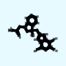 O=C(O)CN1CC(Cl)(Cc2nc3c(F)c(F)cc(F)c3s2)c2ccccc21